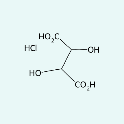 Cl.O=C(O)C(O)C(O)C(=O)O